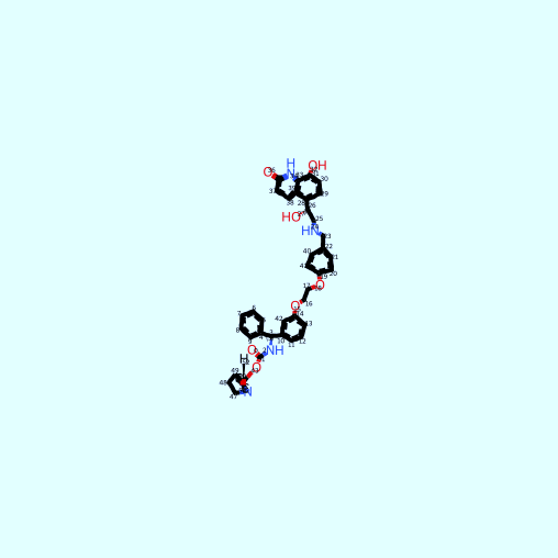 O=C(N[C@@H](c1ccccc1)c1cccc(OCCOc2ccc(CNC[C@H](O)c3ccc(O)c4[nH]c(=O)ccc34)cc2)c1)O[C@H]1CN2CCC1CC2